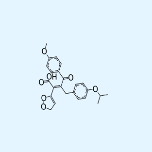 COc1ccc(C(=O)C(Cc2ccc(OC(C)C)cc2)=C(C(=O)O)C2=CCOO2)cc1